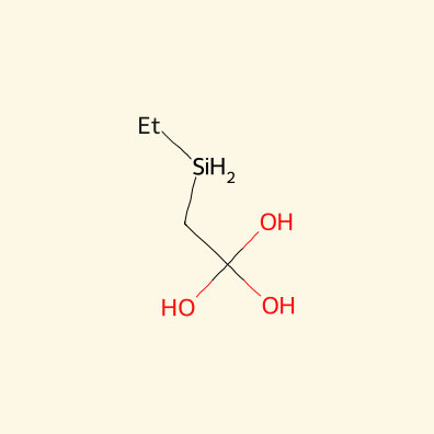 CC[SiH2]CC(O)(O)O